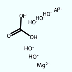 O=C(O)O.[Al+3].[Mg+2].[OH-].[OH-].[OH-].[OH-].[OH-]